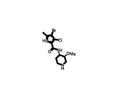 CO[C@H]1CNCC[C@H]1NC(=O)c1[nH]c(C)c(Br)c1Cl